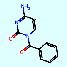 Nc1[c]cn(C(=O)c2ccccc2)c(=O)n1